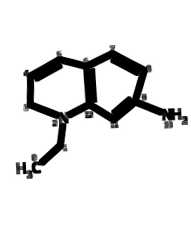 CCN1CC=Cc2ccc(N)cc21